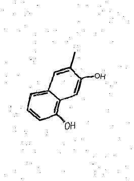 Cc1cc2cccc(O)c2cc1O